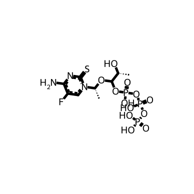 C[C@@H](O)C(O[C@H](C)n1cc(F)c(N)nc1=S)OP(=O)(O)OP(=O)(O)OP(=O)(O)O